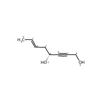 CC=CC[C@@H](O)C#CCO